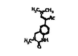 CC(=O)C(=CN(C)C)c1ccc2c(c1)CN(C)C(=O)N2